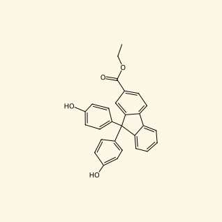 CCOC(=O)c1ccc2c(c1)C(c1ccc(O)cc1)(c1ccc(O)cc1)c1ccccc1-2